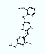 COc1cnccc1Nc1cnc(Nc2ccc(CC(C)C)cc2F)nc1